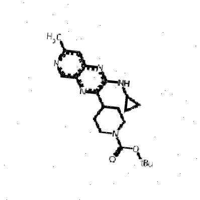 Cc1cc2nc(NC3CC3)c(C3CCN(C(=O)OC(C)(C)C)CC3)nc2cn1